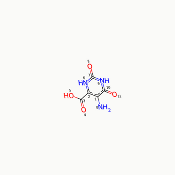 Nc1c(C(=O)O)[nH]c(=O)[nH]c1=O